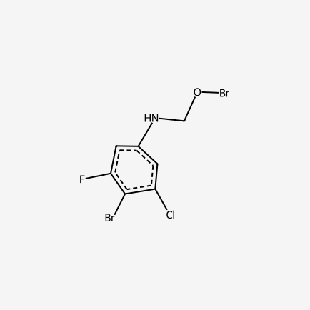 Fc1cc(NCOBr)cc(Cl)c1Br